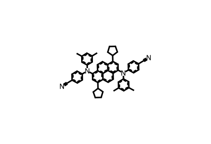 Cc1cc(C)cc(N(c2ccc(C#N)cc2)c2cc(C3CCCC3)c3ccc4c(N(c5ccc(C#N)cc5)c5cc(C)cc(C)c5)cc(C5CCCC5)c5ccc2c3c54)c1